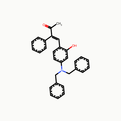 CC(=O)/C(=C/c1ccc(N(Cc2ccccc2)Cc2ccccc2)cc1O)c1ccccc1